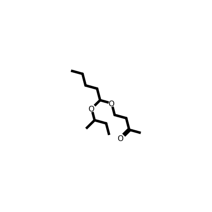 CCCCC(OCCC(C)=O)OC(C)CC